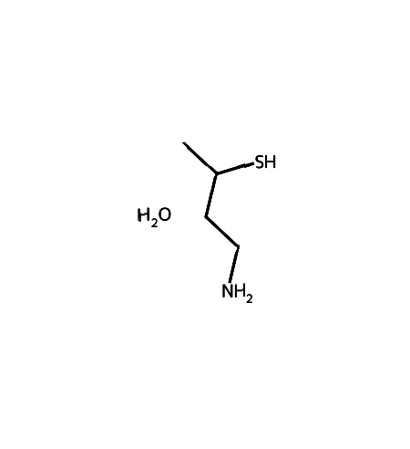 CC(S)CCN.O